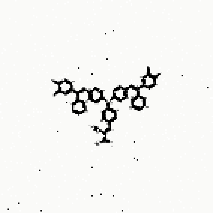 Cc1ccc(/C(=C/c2ccc(N(c3ccc(/C=C(\C#N)C(=O)O)cc3)c3ccc(/C=C(\c4ccccc4)c4ccc(C)c(C)c4)cc3)cc2)c2ccccc2)cc1C